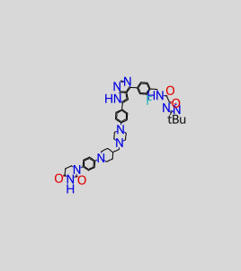 CC(C)(C)c1noc(C(=O)NCc2ccc(-c3ncnc4[nH]c(-c5ccc(N6CCN(CC7CCN(c8ccc(N9CCC(=O)NC9=O)cc8)CC7)CC6)cc5)cc34)cc2F)n1